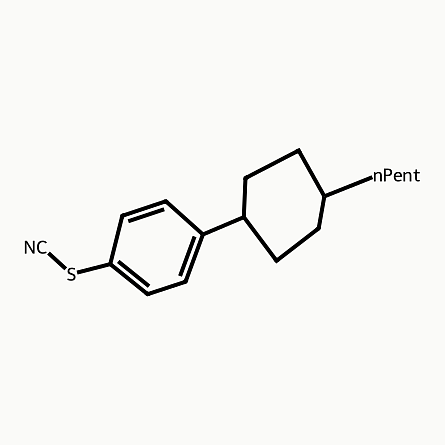 CCCCCC1CCC(c2ccc(SC#N)cc2)CC1